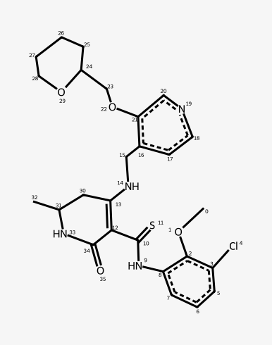 COc1c(Cl)cccc1NC(=S)C1=C(NCc2ccncc2OCC2CCCCO2)CC(C)NC1=O